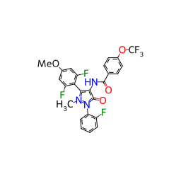 COc1cc(F)c(-c2c(NC(=O)c3ccc(OC(F)(F)F)cc3)c(=O)n(-c3ccccc3F)n2C)c(F)c1